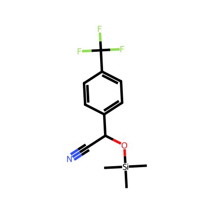 C[Si](C)(C)OC(C#N)c1ccc(C(F)(F)F)cc1